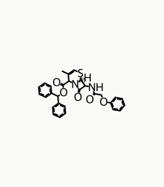 CC1=CS[C@H]2C(NC(=O)COc3ccccc3)C(=O)N2C1C(=O)OC(c1ccccc1)c1ccccc1